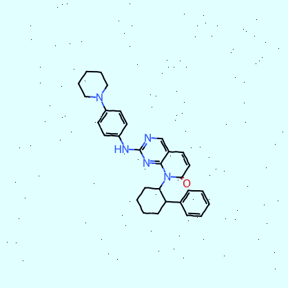 O=c1ccc2cnc(Nc3ccc(N4CCCCC4)cc3)nc2n1C1CCCCC1c1ccccc1